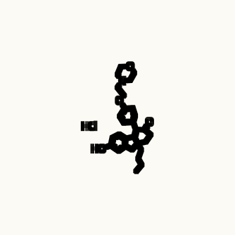 CCCCC12CCC(=O)C(c3ccc(OCCN4CCOCC4)cc3)=C1c1ccc(O)cc1C2.Cl